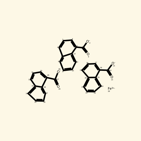 O=C([O-])c1cccc2ccccc12.O=C([O-])c1cccc2ccccc12.O=C([O-])c1cccc2ccccc12.[Fe+3]